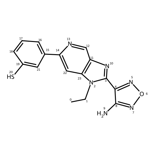 CCn1c(-c2nonc2N)nc2cnc(-c3cccc(S)c3)cc21